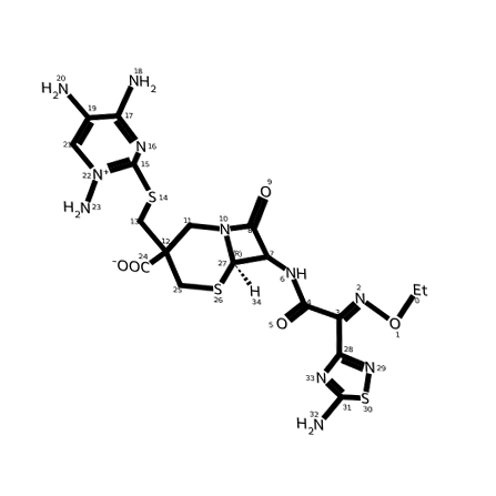 CCON=C(C(=O)NC1C(=O)N2CC(CSc3nc(N)c(N)c[n+]3N)(C(=O)[O-])CS[C@H]12)c1nsc(N)n1